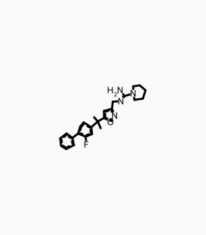 CC(C)(c1ccc(-c2ccccc2)c(F)c1)c1cc(C/N=C(\N)N2CCCCC2)no1